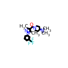 Cc1nn(-c2cccc(C(F)(F)F)c2)c(C)c1C(=O)N1CCC(N(C)C)CC1